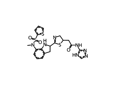 CN(c1cccc2c1NC(C1=NCC(CC(=O)Nc3nnc[nH]3)S1)C2)S(=O)(=O)c1cccs1